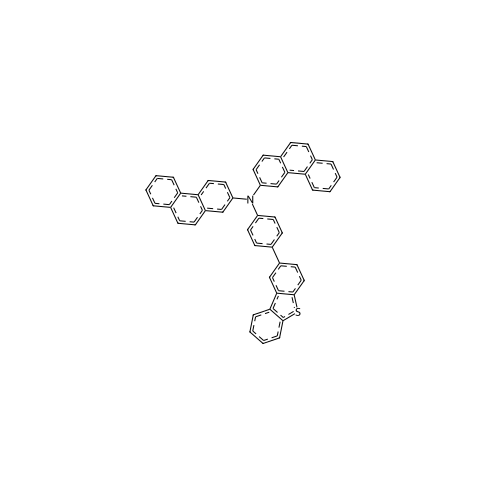 c1ccc2c(c1)ccc1cc(N(c3ccc(-c4ccc5sc6ccccc6c5c4)cc3)c3ccc4ccc5ccccc5c4c3)ccc12